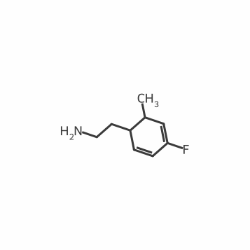 CC1C=C(F)C=CC1CCN